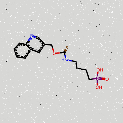 O=P(O)(O)CCCCNC(=S)OCc1cnc2ccccc2c1